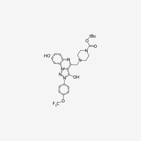 CC(C)(C)OC(=O)N1CCN(Cc2nc3ccccc3[n+]3nn(-c4ccc(OC(F)(F)F)cc4)c(O)c23)CC1.[OH-]